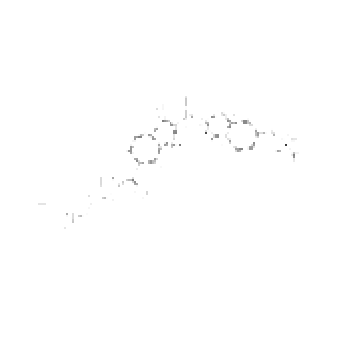 CN(C)CCCNC(=O)c1ccc2c(c1)nc(Nc1nc3ccc(OC(F)(F)F)cc3s1)n2C